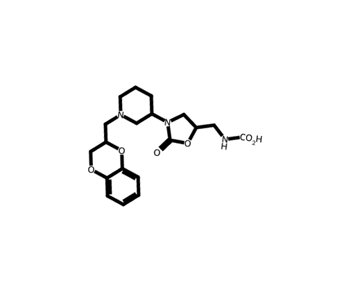 O=C(O)NCC1CN(C2CCCN(CC3COc4ccccc4O3)C2)C(=O)O1